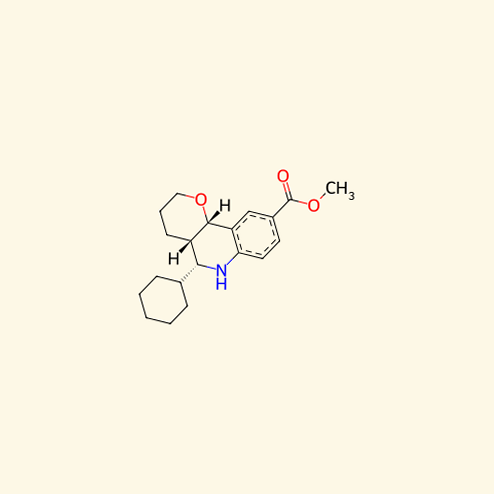 COC(=O)c1ccc2c(c1)[C@H]1OCCC[C@H]1[C@@H](C1CCCCC1)N2